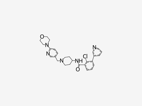 O=C(NC1CCN(Cc2ccc(N3CCOCC3)nc2)CC1)c1cccc(-c2cccnc2)c1Cl